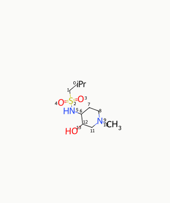 CC(C)CS(=O)(=O)NC1CCN(C)CC1O